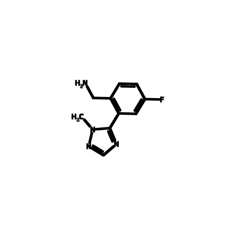 Cn1ncnc1-c1cc(F)ccc1CN